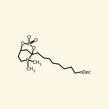 CCCCCCCCCCCCCCCCCCC12CC(CC[N+]1(C)C)OP(=O)([O-])O2